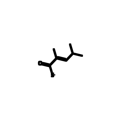 C/C(=C\C(C)C)C(=O)[S]